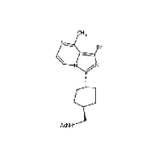 CC(=O)NC[C@H]1CC[C@H](c2nc(Br)c3c(C)nccn32)CC1